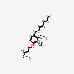 C/C(F)=C/COc1ccc(CC/C=C/CCCF)c(C)c1C(F)(F)F